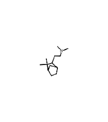 CN(C)CCC1C2CCC(C2)C1(C)C